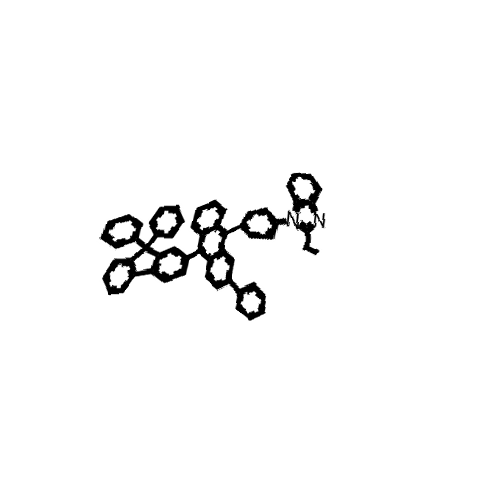 CCc1nc2ccccc2n1-c1ccc(-c2c3ccccc3c(-c3ccc4c(c3)C(c3ccccc3)(c3ccccc3)c3ccccc3-4)c3ccc(-c4ccccc4)cc23)cc1